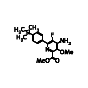 COC(=O)c1nc(-c2ccc([Si](C)(C)C)cc2)c(F)c(N)c1OC